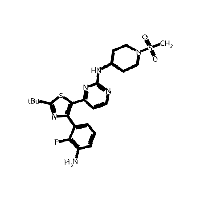 CC(C)(C)c1nc(-c2cccc(N)c2F)c(-c2ccnc(NC3CCN(S(C)(=O)=O)CC3)n2)s1